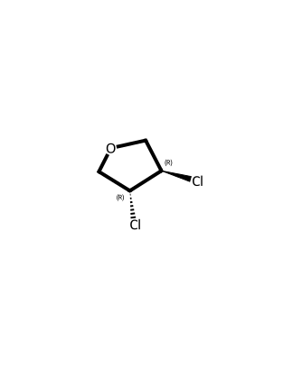 Cl[C@@H]1COC[C@H]1Cl